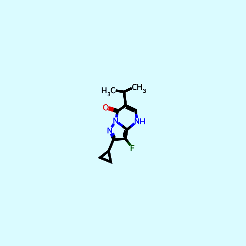 CC(C)c1c[nH]c2c(F)c(C3CC3)nn2c1=O